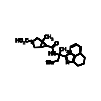 CC(C)(C)CC(C)(NC(=O)C1C2CN(C(=O)O)CC21C)c1nc2c3c(cccn13)CCC2